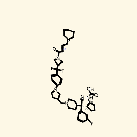 N#CC(c1cccc(F)c1)(C1CCN(CC2CCN(c3ccc(C(F)(F)C4CN(C(=O)/C=C/CN5CCCCC5)C4)cc3)C2)CC1)[C@H]1CCC[C@@H]1NC(=O)O